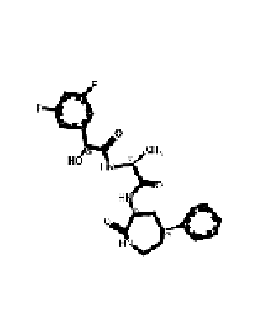 C[C@H](NC(=O)[C@@H](O)c1cc(F)cc(F)c1)C(=O)N[C@H]1C[C@@H](c2ccccc2)CCNC1=O